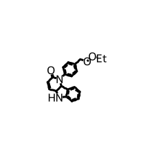 CCOOCc1ccc(N2C(=O)C=CC3Nc4ccccc4C32)cc1